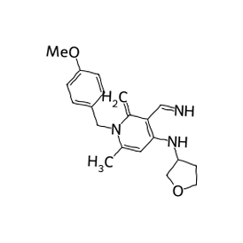 C=C1C(C=N)=C(NC2CCOC2)C=C(C)N1Cc1ccc(OC)cc1